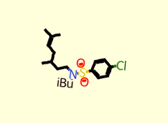 CCC(C)N(CCC(C)CC=C(C)C)S(=O)(=O)c1ccc(Cl)cc1